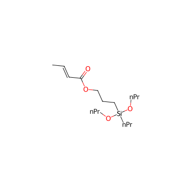 CC=CC(=O)OCCC[Si](CCC)(OCCC)OCCC